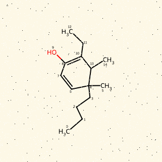 CCCCC1(C)C=CC(O)=C(CC)C1C